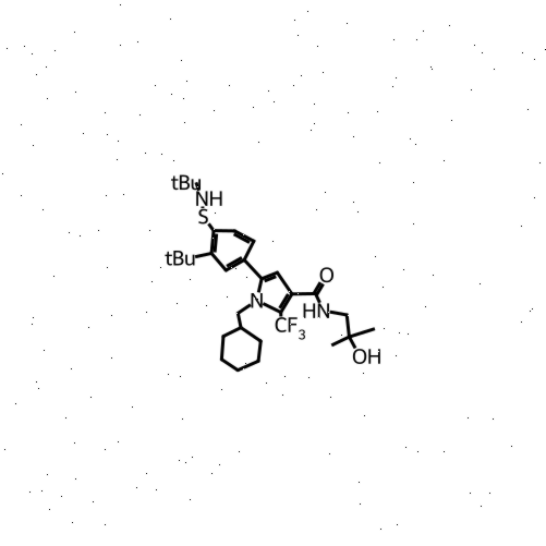 CC(C)(O)CNC(=O)c1cc(-c2ccc(SNC(C)(C)C)c(C(C)(C)C)c2)n(CC2CCCCC2)c1C(F)(F)F